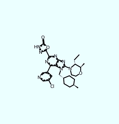 CC[C@@H]1[C@@H](C)OCCN1c1nc2nc(-c3n[nH]c(=O)o3)nc(-c3cncc(Cl)c3)c2n1C[C@H]1CC[C@H](C)CC1